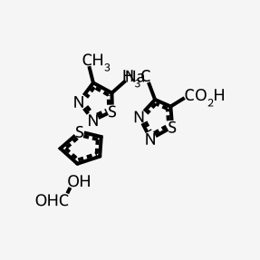 Cc1nns[c]1[Na].Cc1nnsc1C(=O)O.O=CO.c1ccsc1